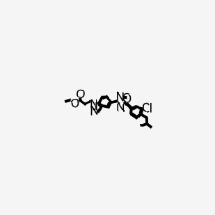 CCOC(=O)CCn1ncc2cc(-c3noc(-c4ccc(CC(C)C)c(Cl)c4)n3)ccc21